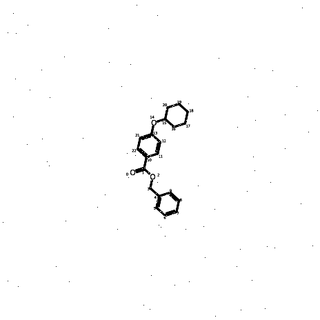 O=C(OCc1ccccc1)c1ccc(OC2CCCCC2)cc1